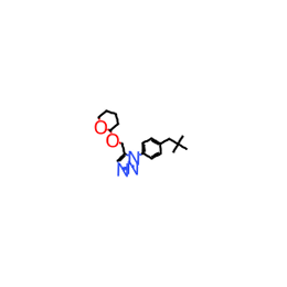 CC(C)(C)Cc1ccc(-n2nncc2COC2CCCCO2)cc1